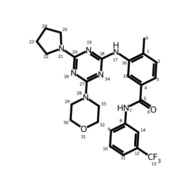 Cc1ccc(C(=O)Nc2cccc(C(F)(F)F)c2)cc1Nc1nc(N2CCCC2)nc(N2CCOCC2)n1